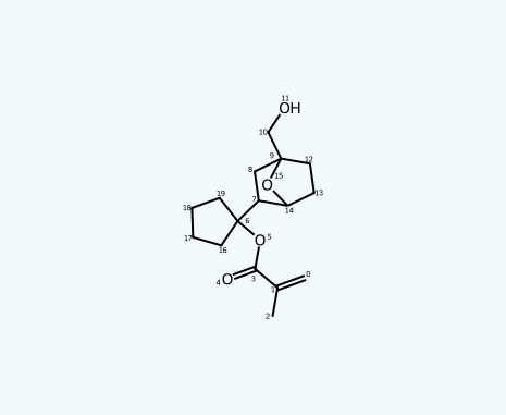 C=C(C)C(=O)OC1(C2CC3(CO)CCC2O3)CCCC1